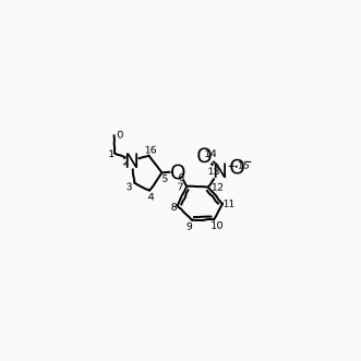 CCN1CCC(Oc2ccccc2[N+](=O)[O-])C1